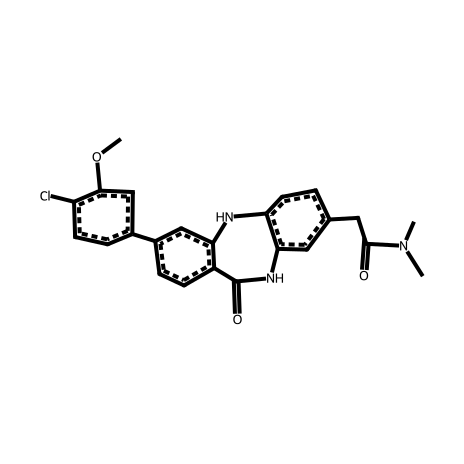 COc1cc(-c2ccc3c(c2)Nc2ccc(CC(=O)N(C)C)cc2NC3=O)ccc1Cl